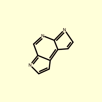 C1=Cc2c3c(ncc2=N1)=NC=C3